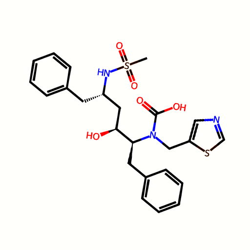 CS(=O)(=O)N[C@@H](Cc1ccccc1)C[C@H](O)[C@H](Cc1ccccc1)N(Cc1cncs1)C(=O)O